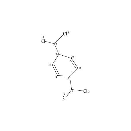 ClC(Cl)C1C=CC(C(Cl)Cl)C=C1